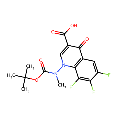 CN(C(=O)OC(C)(C)C)n1cc(C(=O)O)c(=O)c2cc(F)c(F)c(F)c21